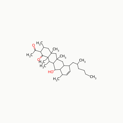 CCCCC(C)CC1C=CC(C)C2C(O)C3C(C)C4(C)C(=O)C(C(C)=O)C(C)CC4(C)CC3(C)CC12